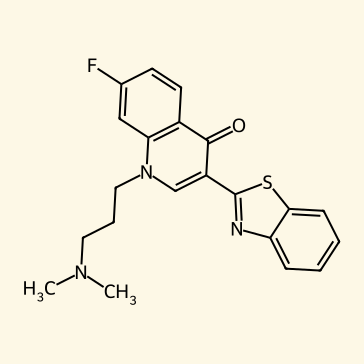 CN(C)CCCn1cc(-c2nc3ccccc3s2)c(=O)c2ccc(F)cc21